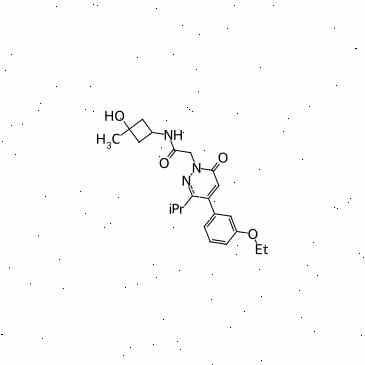 CCOc1cccc(-c2cc(=O)n(CC(=O)NC3CC(C)(O)C3)nc2C(C)C)c1